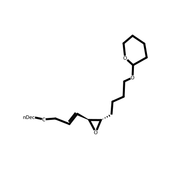 CCCCCCCCCCCC/C=C/[C@@H]1O[C@H]1CCCCOC1CCCCO1